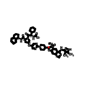 C[CH]C(=O)N[C@H](C(=O)N1C[C@@H](Oc2cnc(N3CCC(COc4cc5ncnc(Nc6n[nH]c(C)c6C)c5cc4S(=O)(=O)C(C)(C)C)CC3)nc2)C[C@H]1C(=O)N[C@@H]1CCCc2ccccc21)C1CCCCC1